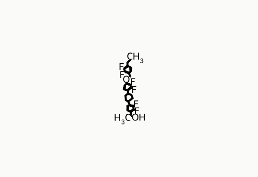 CCCc1ccc(COc2ccc(C3CCC(c4ccc(C(C)O)c(F)c4F)CC3)c(F)c2F)c(F)c1F